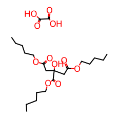 CCCCCOC(=O)CC(O)(CC(=O)OCCCCC)C(=O)OCCCCC.O=C(O)C(=O)O